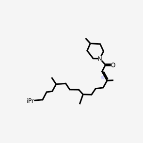 C/C(=C\C(=O)N1CCC(C)CC1)CCCC(C)CCCC(C)CCCC(C)C